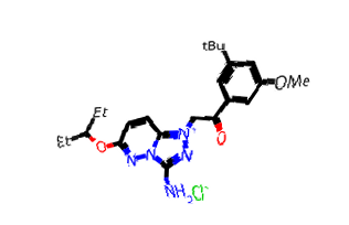 CCC(CC)Oc1ccc2n(n1)c(N)n[n+]2CC(=O)c1cc(OC)cc(C(C)(C)C)c1.[Cl-]